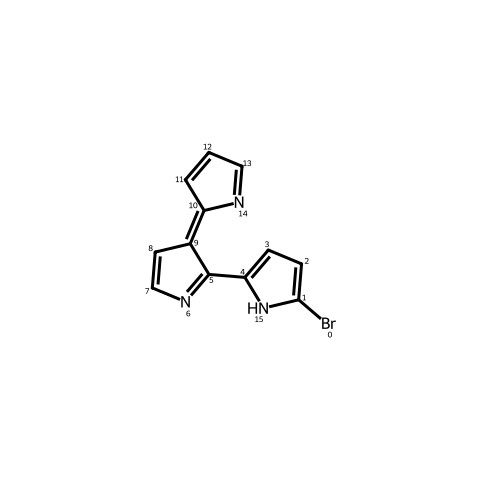 Brc1ccc(C2=NC=CC2=C2C=CC=N2)[nH]1